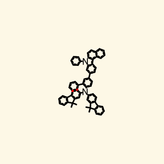 CC1(C)c2ccccc2-c2ccc(N(c3ccc4c(c3)C(C)(C)c3ccccc3-4)c3ccc(-c4ccc5c6c7ccccc7ccc6n(-c6ccccc6)c5c4)cc3-c3ccccc3)cc21